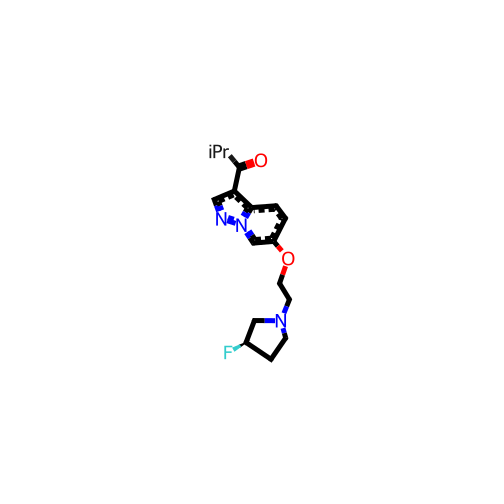 CC(C)C(=O)c1cnn2cc(OCCN3CC[C@@H](F)C3)ccc12